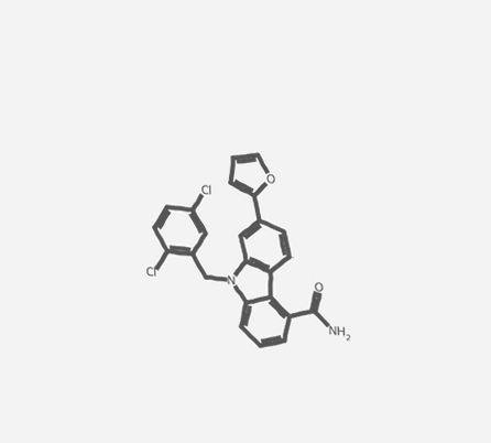 NC(=O)c1cccc2c1c1[c]cc(-c3ccco3)cc1n2Cc1cc(Cl)ccc1Cl